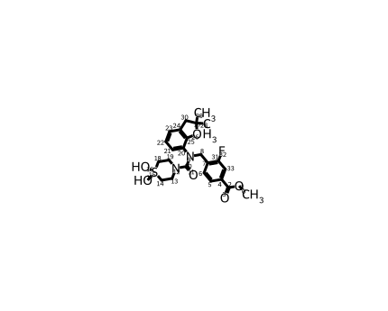 COC(=O)c1ccc(CN(C(=O)N2CCS(O)(O)CC2)c2cccc3c2OC(C)(C)C3)c(F)c1